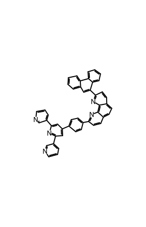 c1cncc(-c2cc(-c3ccc(-c4ccc5ccc6ccc(-c7cc8ccccc8c8ccccc78)nc6c5n4)cc3)cc(-c3cccnc3)n2)c1